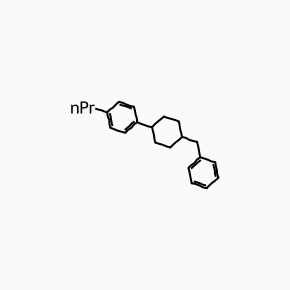 CCCc1ccc(C2CCC(Cc3ccccc3)CC2)cc1